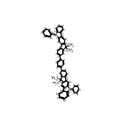 CC1(C)c2cc(-c3ccc(-c4ccc5c(c4)C(C)(C)c4cc6c7ccccc7n(-c7ccccc7)c6cc4-5)cc3)ccc2-c2cc3c(cc21)c1ccccc1n3-c1ccccc1